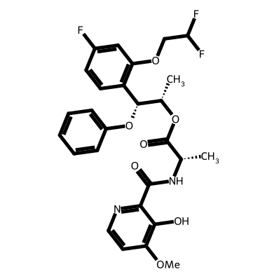 COc1ccnc(C(=O)N[C@@H](C)C(=O)O[C@@H](C)[C@H](Oc2ccccc2)c2ccc(F)cc2OCC(F)F)c1O